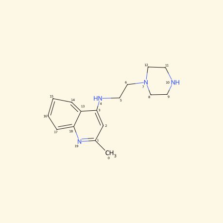 Cc1cc(NCCN2CCNCC2)c2ccccc2n1